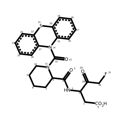 O=C(O)CC(NC(=O)C1CCCCN1C(=O)N1c2ccccc2Sc2ccccc21)C(=O)CF